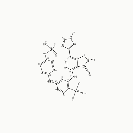 CN1Cc2c(-c3cnn(C)c3)ccc(Nc3nc(Nc4ccc(CP(C)(=O)O)cc4)ncc3C(F)(F)F)c2C1=O